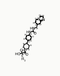 CC(C)(O)C(=O)N1CCC(c2ccc(NC(=O)NCc3ccn4ccnc4c3)cc2)CC1